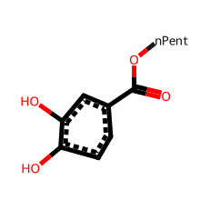 CCCCCOC(=O)c1ccc(O)c(O)c1